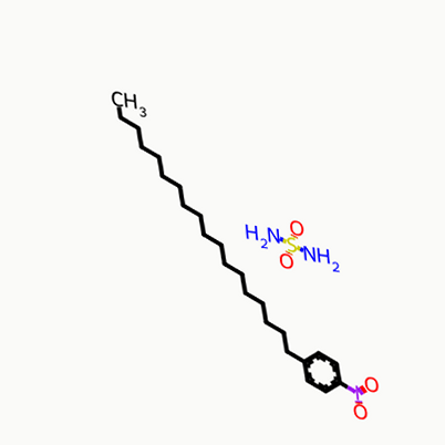 CCCCCCCCCCCCCCCCCCc1ccc(I(=O)=O)cc1.NS(N)(=O)=O